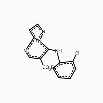 CCOC(=O)c1cnc2ccnn2c1Nc1ccccc1Cl